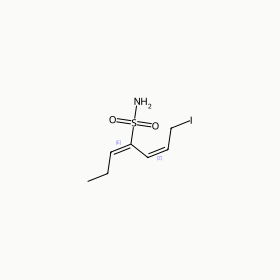 CC/C=C(\C=C/CI)S(N)(=O)=O